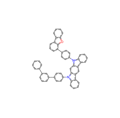 c1ccc(-c2cccc(-c3ccc(-n4c5ccccc5c5cc6c7ccccc7n(-c7ccc(-c8cccc9c8oc8ccccc89)cc7)c6cc54)cc3)c2)cc1